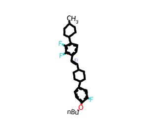 CCCCOc1ccc(C2CCC(/C=C/c3ccc(C4CCC(C)CC4)c(F)c3F)CC2)cc1F